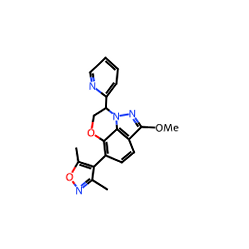 COc1nn2c3c(c(-c4c(C)noc4C)ccc13)OCC2c1ccccn1